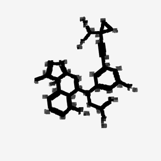 Cc1nnc2nc(N(CC(F)F)c3cc(F)cc(C#CC4(C(F)F)CC4)c3)c3c(F)cccc3n12